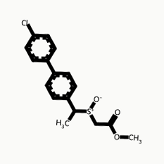 COC(=O)C[S+]([O-])C(C)c1ccc(-c2ccc(Cl)cc2)cc1